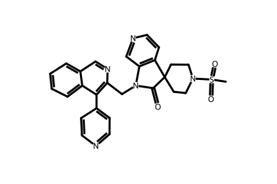 CS(=O)(=O)N1CCC2(CC1)C(=O)N(Cc1ncc3ccccc3c1-c1ccncc1)c1cnccc12